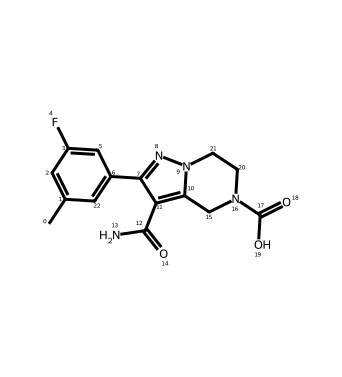 Cc1cc(F)cc(-c2nn3c(c2C(N)=O)CN(C(=O)O)CC3)c1